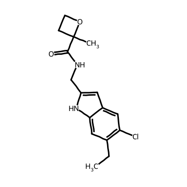 CCc1cc2[nH]c(CNC(=O)C3(C)CCO3)cc2cc1Cl